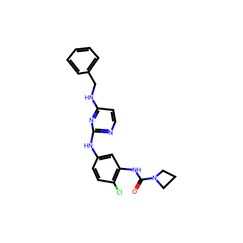 O=C(Nc1cc(Nc2nccc(NCc3ccccc3)n2)ccc1Cl)N1CCC1